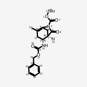 CC(C)(C)OC(=O)N1C(=O)[C@@H]2CC1=C(I)C[C@H]2NC(=O)OCc1ccccc1